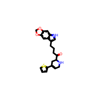 O=C(CCCc1c[nH]c2cc3c(cc12)OCO3)C1CC(c2cccs2)=CCN1